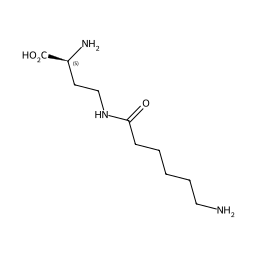 NCCCCCC(=O)NCC[C@H](N)C(=O)O